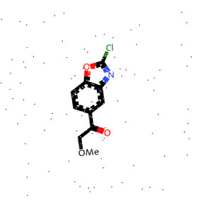 COCC(=O)c1ccc2oc(Cl)nc2c1